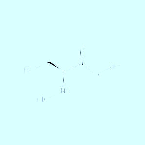 CC(C)OC(=O)[C@H](CO)NC=O